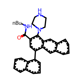 CCCCNC(=O)c1cc(-c2cccc3ccccc23)c2cc3ccccc3cc2c1N1CCNCC1